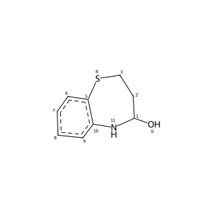 OC1CCSc2ccccc2N1